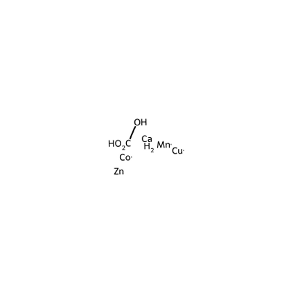 O=C(O)O.[CaH2].[Co].[Cu].[Mn].[Zn]